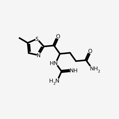 Cc1cnc(C(=O)C(CCC(N)=O)NC(=N)N)s1